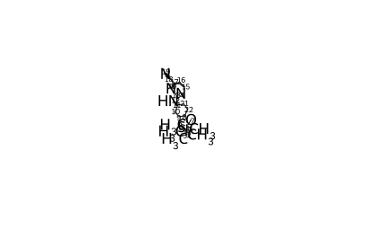 CC(C)(C)[Si](C)(C)O[C@H]1CC[C@@H](Nc2nccc(C#N)n2)CC1